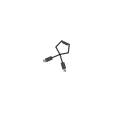 N#CC1(C#N)CC=CC1